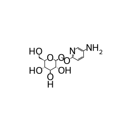 Nc1ccc(OO[C@@H]2O[C@H](CO)[C@@H](O)[C@H](O)[C@H]2O)nc1